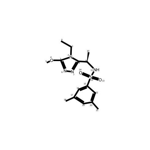 CCn1c(OC)nnc1[C@@H](C)NS(=O)(=O)c1cc(C)cc(C)c1